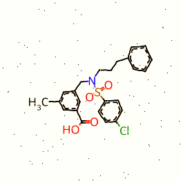 Cc1cc(CN(CCCc2ccccc2)S(=O)(=O)c2ccc(Cl)cc2)cc(C(=O)O)c1